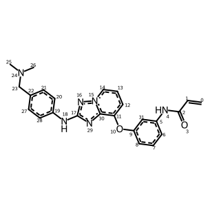 C=CC(=O)Nc1cccc(Oc2cccn3nc(Nc4ccc(CN(C)C)cc4)nc23)c1